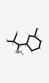 CC1CCCC(C(N)C(C)C)C1